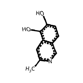 Cc1cc2c(O)c(O)ccc2cn1